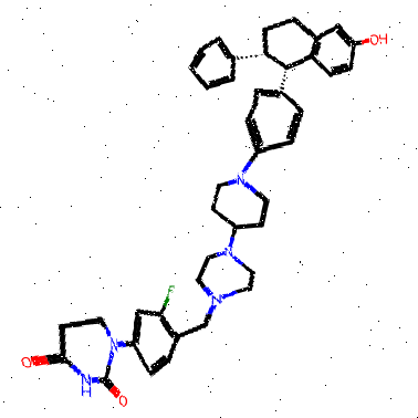 O=C1CCN(c2ccc(CN3CCN(C4CCN(c5ccc([C@H]6c7ccc(O)cc7CC[C@H]6c6ccccc6)cc5)CC4)CC3)c(F)c2)C(=O)N1